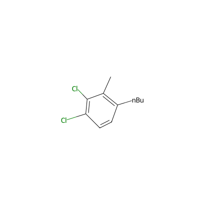 CCCCc1ccc(Cl)c(Cl)c1C